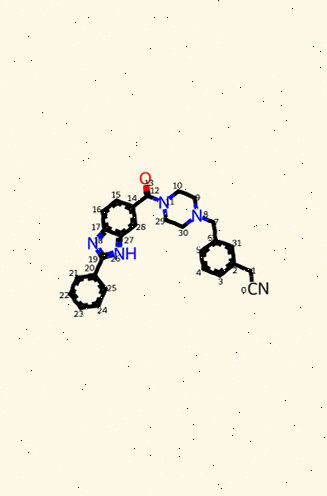 N#CCc1cccc(CN2CCN(C(=O)c3ccc4nc(-c5ccccc5)[nH]c4c3)CC2)c1